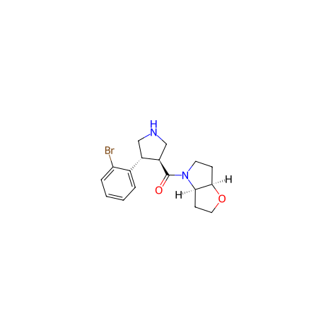 O=C([C@@H]1CNC[C@H]1c1ccccc1Br)N1CC[C@H]2OCC[C@H]21